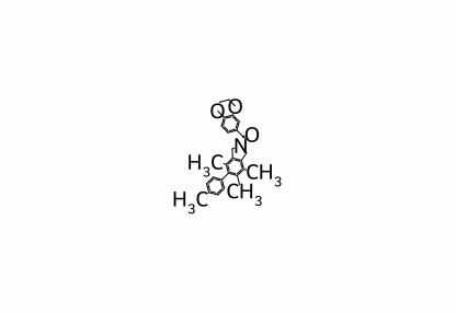 CCc1c(C)c2c(c(C)c1-c1ccc(C)cc1)CN(C(=O)c1ccc3c(c1)OCCO3)C2